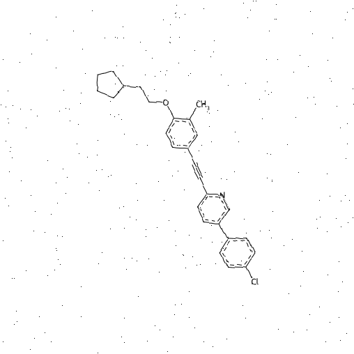 Cc1cc(C#Cc2ccc(-c3ccc(Cl)cc3)cn2)ccc1OCC[C]1CCCC1